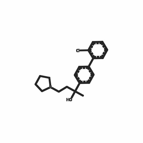 CC(O)(CCN1CCCC1)c1ccc(-c2ccccc2Cl)cc1